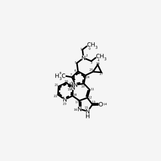 CCN(CC)Cc1c(C)[nH]c(/C=C2/C(=O)NN=C2c2ncccn2)c1C1CC1